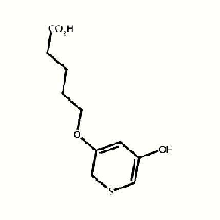 O=C(O)CCCCOC1=CC(O)=CSC1